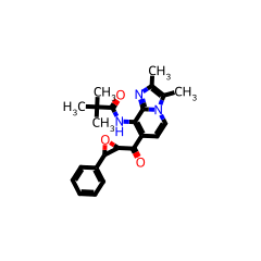 Cc1nc2c(NC(=O)C(C)(C)C)c(C(=O)C3OC3c3ccccc3)ccn2c1C